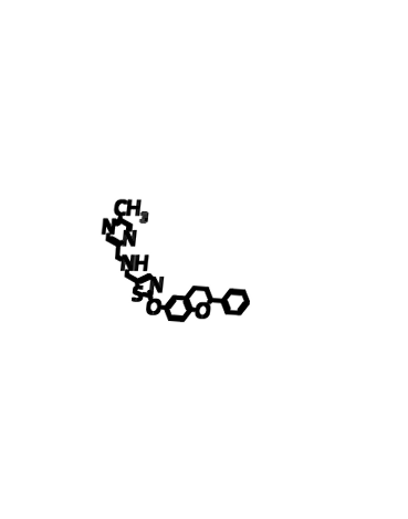 Cc1cnc(CNCc2cnc(Oc3ccc4c(c3)CCC(c3ccccc3)O4)s2)cn1